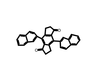 O=C1CCc2c1c(-c1ccc3ccccc3c1)c1c(c2-c2ccc3ccccc3c2)C(=O)CC1